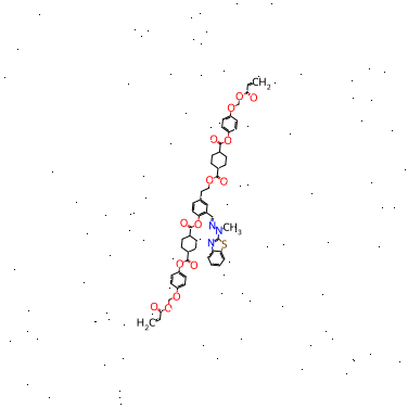 C=CC(=O)OCOc1ccc(OC(=O)C2CCC(C(=O)OCCc3ccc(OC(=O)C4CCC(C(=O)Oc5ccc(OCOC(=O)C=C)cc5)CC4)c(/C=N/N(C)c4nc5ccccc5s4)c3)CC2)cc1